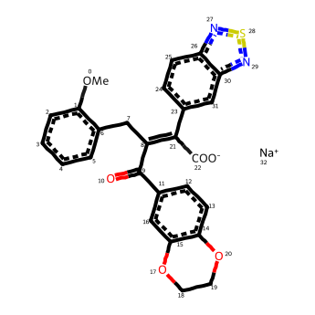 COc1ccccc1CC(C(=O)c1ccc2c(c1)OCCO2)=C(C(=O)[O-])c1ccc2nsnc2c1.[Na+]